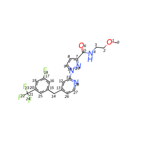 COCCNC(=O)c1ccn(-c2cc(Cc3cc(F)cc(C(F)(F)F)c3)ccn2)n1